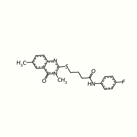 Cc1ccc2nc(SCCCC(=O)Nc3ccc(F)cc3)n(C)c(=O)c2c1